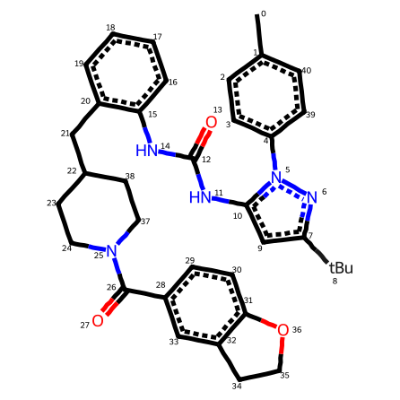 Cc1ccc(-n2nc(C(C)(C)C)cc2NC(=O)Nc2ccccc2CC2CCN(C(=O)c3ccc4c(c3)CCO4)CC2)cc1